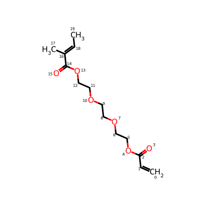 C=CC(=O)OCCOCCOCCOC(=O)C(C)=CC